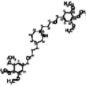 COc1cc(COCCCC2CCCN(CCCOCc3cc(OC)c(OC)c(OC)c3)NC2)cc(OC)c1OC